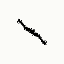 C=CC(=O)OCCCCCCCCOc1ccc(C(=O)Oc2ccc(OC(=O)c3ccc(OCCCCCCCCOC(=O)C=C)cc3)c(F)c2)cc1